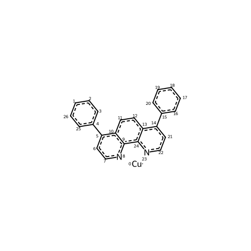 [Cu].c1ccc(-c2ccnc3c2ccc2c(-c4ccccc4)ccnc23)cc1